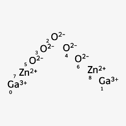 [Ga+3].[Ga+3].[O-2].[O-2].[O-2].[O-2].[O-2].[Zn+2].[Zn+2]